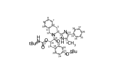 Cc1[nH]c(C2Cc3ccccc3CN2C(=O)C(Cc2ccc(OC(C)(C)C)cc2)OC(=O)NC(C)(C)C)nc1-c1ccccc1